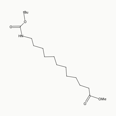 COC(=O)CCCCCCCCCCCNC(=O)OC(C)(C)C